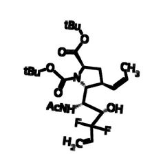 C=CC(F)(F)[C@@H](O)[C@H](NC(C)=O)[C@H]1[C@H](/C=C\C)C[C@H](C(=O)OC(C)(C)C)N1C(=O)OC(C)(C)C